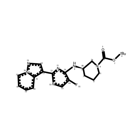 CC(C)(C)OC(=O)N1CCC[C@@H](Nc2nc(-c3cnn4ccccc34)ncc2F)C1